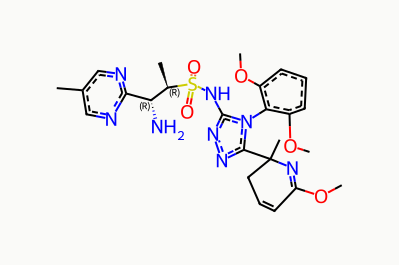 COC1=NC(C)(c2nnc(NS(=O)(=O)[C@H](C)[C@H](N)c3ncc(C)cn3)n2-c2c(OC)cccc2OC)CC=C1